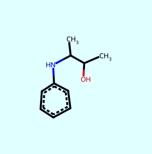 CC(O)C(C)Nc1ccccc1